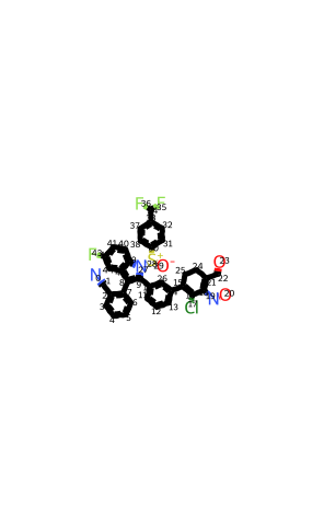 N#Cc1ccccc1-c1c(-c2cccc(C3=C(Cl)C(N=O)=C(C=O)CC3)c2)n([S+]([O-])c2ccc(C(F)F)cc2)c2ccc(F)cc12